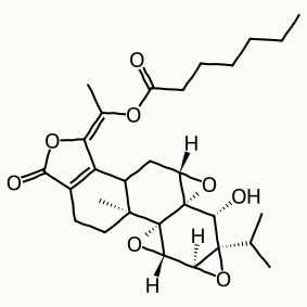 CCCCCCC(=O)O/C(C)=C1/OC(=O)C2=C1C1C[C@@H]3O[C@@]34[C@H](O)[C@@]3(C(C)C)O[C@H]3[C@@H]3O[C@@]34[C@@]1(C)CC2